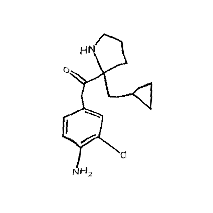 Nc1ccc(C(=O)C2(CC3CC3)CCCN2)cc1Cl